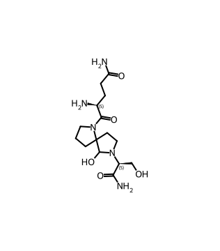 NC(=O)CC[C@H](N)C(=O)N1CCCC12CCN([C@@H](CO)C(N)=O)C2O